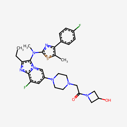 CCc1nc2c(F)cc(N3CCN(CC(=O)N4CC(O)C4)CC3)cn2c1N(C)c1nc(-c2ccc(F)cc2)c(C)s1